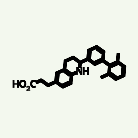 Cc1cccc(C)c1-c1cccc(C2CCc3cc(CCC(=O)O)ccc3N2)c1